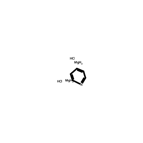 Cl.Cl.[MgH2].[MgH2].c1ccncc1